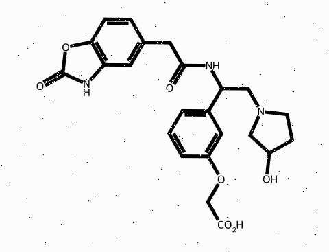 O=C(O)COc1cccc(C(CN2CCC(O)C2)NC(=O)Cc2ccc3oc(=O)[nH]c3c2)c1